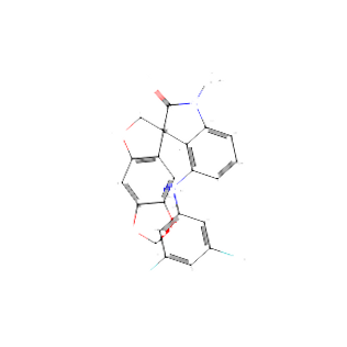 CCCCCN1C(=O)C2(COc3cc4c(cc32)OCO4)c2c(Nc3cc(F)cc(F)c3)cccc21